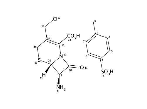 Cc1ccc(S(=O)(=O)O)cc1.N[C@@H]1C(=O)N2C(C(=O)O)=C(CCl)CS[C@@H]12